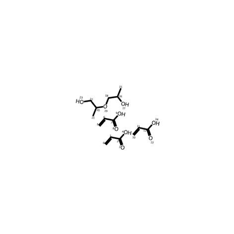 C=CC(=O)O.C=CC(=O)O.C=CC(=O)O.CC(O)COC(C)CO